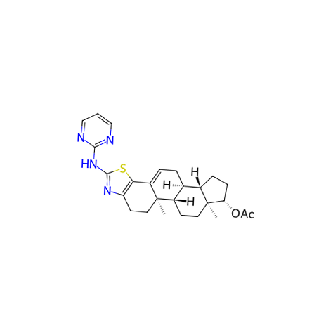 CC(=O)O[C@H]1CC[C@H]2[C@@H]3CC=C4c5sc(Nc6ncccn6)nc5CC[C@]4(C)[C@H]3CC[C@]12C